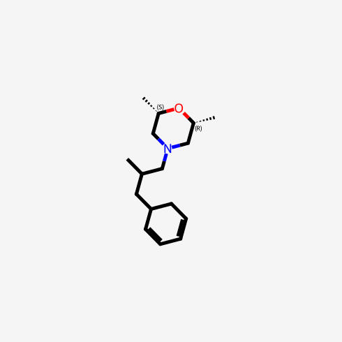 CC(CC1C=CC=CC1)CN1C[C@@H](C)O[C@@H](C)C1